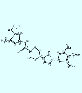 COc1c(C(C)(C)C)cc(-c2ncc(C3CCN(C(=O)Cn4cc(C)c(CC=O)n4)CC3)s2)cc1C(C)(C)C